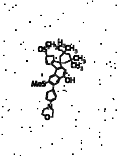 CSc1cc2c3c(cc(O)c2cc1-c1ccc(N2CCOCC2)cc1)C1(CC(C)(C)CC(C)(C)C1)c1cc([S+](C)[O-])ccc1-3